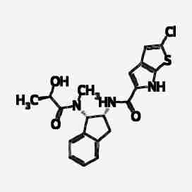 C[C@@H](O)C(=O)N(C)[C@H]1c2ccccc2C[C@H]1NC(=O)c1cc2cc(Cl)sc2[nH]1